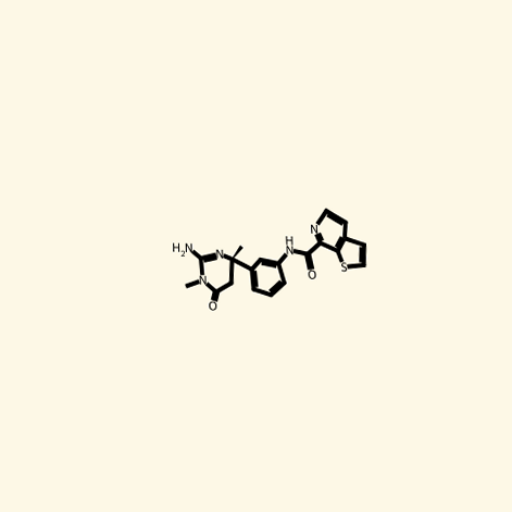 CN1C(=O)C[C@@](C)(c2cccc(NC(=O)c3nccc4ccsc34)c2)N=C1N